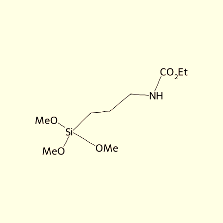 [CH2]COC(=O)NCCC[Si](OC)(OC)OC